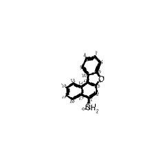 Bc1cc2oc3ccccc3c2c2ccccc12